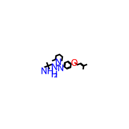 CC(C)=CCOc1ccc(/N=C(/NCC(C)(C)CN)N2CCCCC2C)cc1